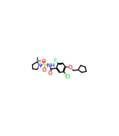 C[C@@H]1CCCN1S(=O)(=O)NC(=O)c1cc(Cl)c(OCC2CCCC2)cc1F